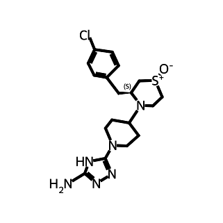 Nc1nnc(N2CCC(N3CC[S+]([O-])C[C@@H]3Cc3ccc(Cl)cc3)CC2)[nH]1